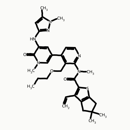 C=Cc1c(C(=O)N(C)c2nccc(-c3cc(Nc4cc(C)n(C)n4)c(=O)n(C)c3)c2COCCC)sc2c1CC(C)(C)C2